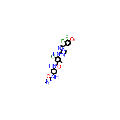 COc1ccc(-c2cnc3c(Nc4ccc(C(=O)N[C@H]5CC[C@H](NC(=O)C[N+](C)(C)C)CC5)c(C)c4)nccn23)c(F)c1F.[Cl-]